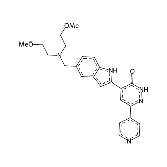 COCCN(CCOC)Cc1ccc2[nH]c(-c3cc(-c4ccncc4)n[nH]c3=O)cc2c1